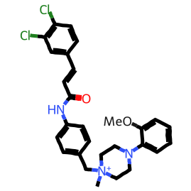 COc1ccccc1N1CC[N+](C)(Cc2ccc(NC(=O)/C=C/c3ccc(Cl)c(Cl)c3)cc2)CC1